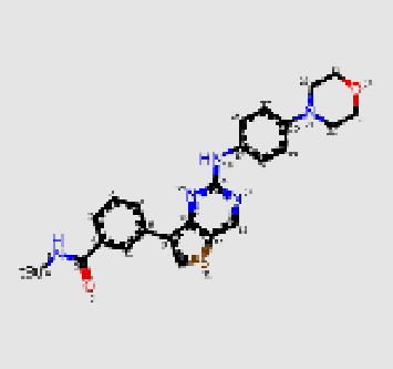 CC(C)(C)NC(=O)c1cccc(-c2csc3cnc(Nc4ccc(N5CCOCC5)cc4)nc23)c1